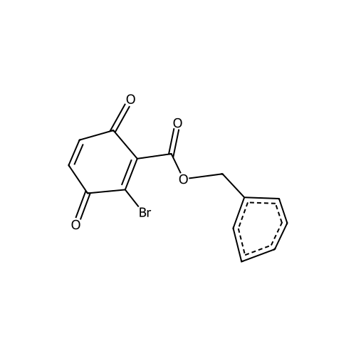 O=C1C=CC(=O)C(C(=O)OCc2ccccc2)=C1Br